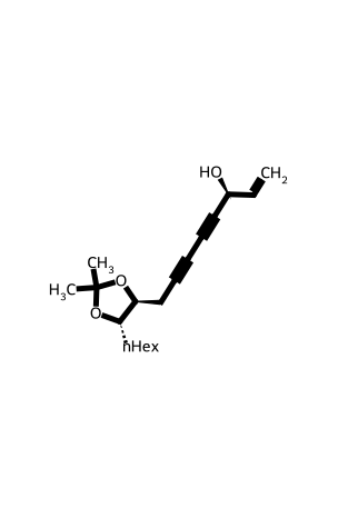 C=C[C@H](O)C#CC#CC[C@@H]1OC(C)(C)O[C@H]1CCCCCC